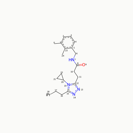 Cc1cccc(CNC(=O)CCc2nnc(CCC(C)C)n2C2CC2)c1C